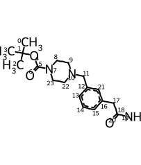 CC(C)(C)OC(=O)N1CCN(Cc2cccc(CC(N)=O)c2)CC1